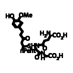 CCCCCC(CC(=O)CCc1ccc(O)c(OC)c1)SC[C@H](NC(=O)CC[C@@H](N)C(=O)O)C(=O)NCC(=O)O